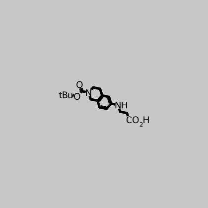 CC(C)(C)OC(=O)N1CCc2cc(NCCC(=O)O)ccc2C1